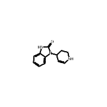 O=c1[nH]c2ccccc2n1C1C=CNCC1